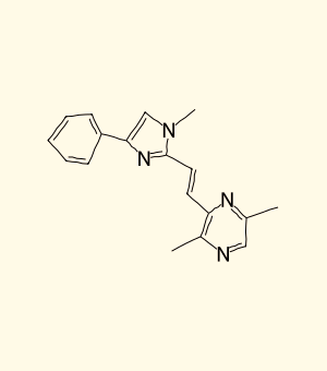 Cc1cnc(C)c(C=Cc2nc(-c3ccccc3)cn2C)n1